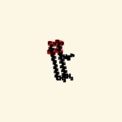 CCCCCCCCCCC=COC(=O)CCC(=O)[O-].CCCCCCCCCCC=COC(=O)CCC(=O)[O-].[Hg+2]